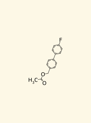 CC(=O)OCc1ccc(-c2ccc(F)cc2)cc1